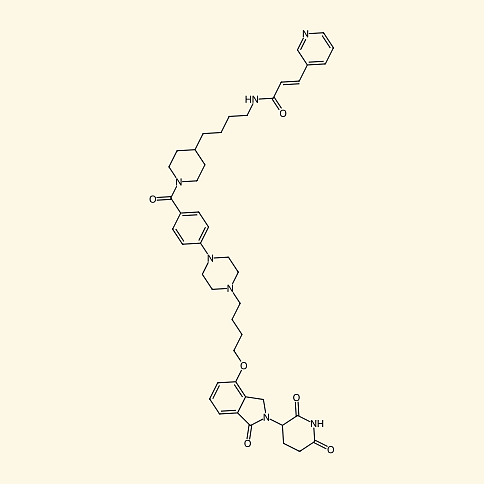 O=C(/C=C/c1cccnc1)NCCCCC1CCN(C(=O)c2ccc(N3CCN(CCCCOc4cccc5c4CN(C4CCC(=O)NC4=O)C5=O)CC3)cc2)CC1